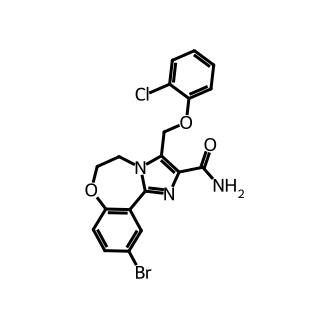 NC(=O)c1nc2n(c1COc1ccccc1Cl)CCOc1ccc(Br)cc1-2